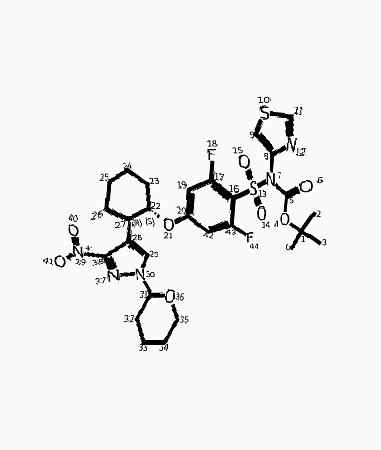 CC(C)(C)OC(=O)N(c1cscn1)S(=O)(=O)c1c(F)cc(O[C@H]2CCCC[C@@H]2c2cn(C3CCCCO3)nc2[N+](=O)[O-])cc1F